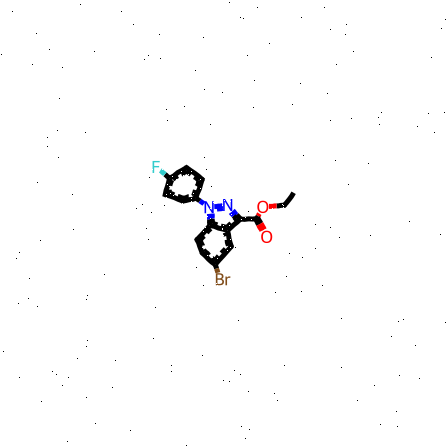 CCOC(=O)c1nn(-c2ccc(F)cc2)c2ccc(Br)cc12